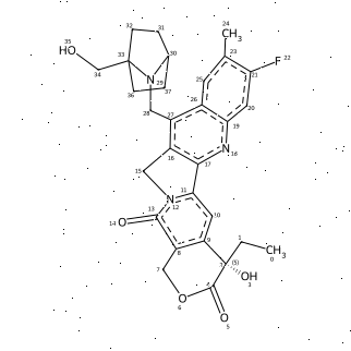 CC[C@@]1(O)C(=O)OCc2c1cc1n(c2=O)Cc2c-1nc1cc(F)c(C)cc1c2CN1C2CCC1(CO)CC2